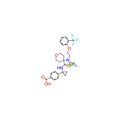 CN(CCOc1ccccc1C(F)(F)F)C1(C(=O)NC2(c3ccc(C(=O)O)cc3)CC2)CCOCC1.Cl